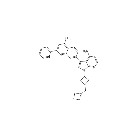 Cc1cc(-c2ccccn2)nc2cc(-c3cn(C4CC(CN5CCC5)C4)c4ncnc(N)c34)ccc12